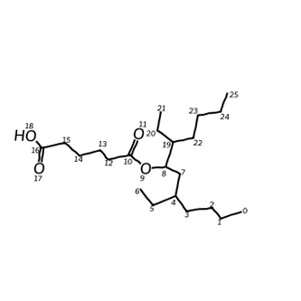 CCCCC(CC)CC(OC(=O)CCCCC(=O)O)C(CC)CCCC